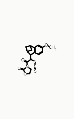 COc1ccc2c(c1)C1CC(C1)C2C(N=C=S)C(=O)N1CCOC1=O